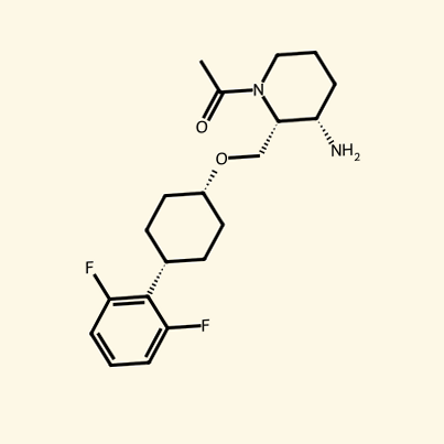 CC(=O)N1CCC[C@H](N)[C@@H]1CO[C@H]1CC[C@@H](c2c(F)cccc2F)CC1